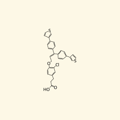 O=C(O)CCc1ccc(OCC=C(c2ccc(-c3ccsc3)cc2)c2ccc(-c3ccsc3)cc2)c(Cl)c1